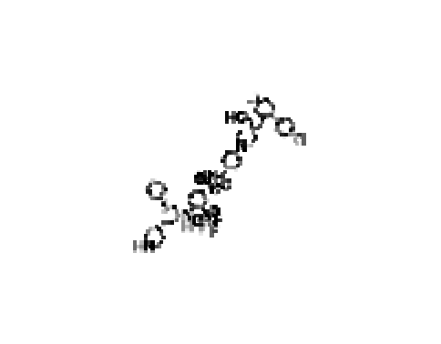 CC1(C)CCC(c2ccc(Cl)cc2)=C(CC2(CO)CCN(c3ccc(C(=O)NS(=O)(=O)c4ccc(N[C@H](CCN5CCNCC5)CSc5ccccc5)c(S(=O)(=O)C(F)(F)F)c4)cc3)CC2)C1